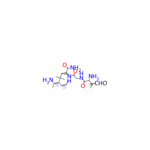 C/C=C\C(=C(/C)N)C(C)(C)C[C@H](NC(=O)CNC(=O)C(N)[C@H](C)C=O)C(N)=O